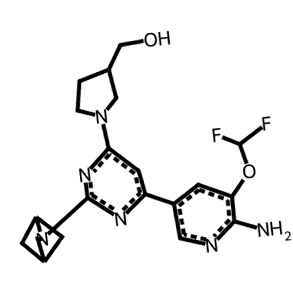 Nc1ncc(-c2cc(N3CCC(CO)C3)nc(N3CC4CC3C4)n2)cc1OC(F)F